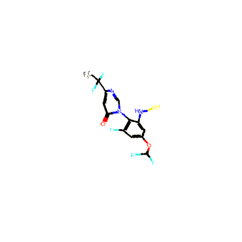 O=c1cc(C(F)(F)C(F)(F)F)ncn1-c1c(F)cc(OC(F)F)cc1NS